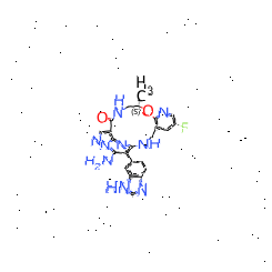 C[C@H]1CNC(=O)c2cnn3c(N)c(-c4ccc5nc[nH]c5c4)c(nc23)NCc2cc(F)cnc2O1